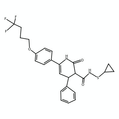 O=C(NSC1CC1)C1C(=O)NC(c2ccc(OCCCC(F)(F)F)cc2)=CC1c1ccccc1